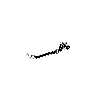 CCCCCCCCCCCCCCCCOc1ccc(-c2c(O)c(-c3ccccc3)cc(O)c2C(C)=O)cc1